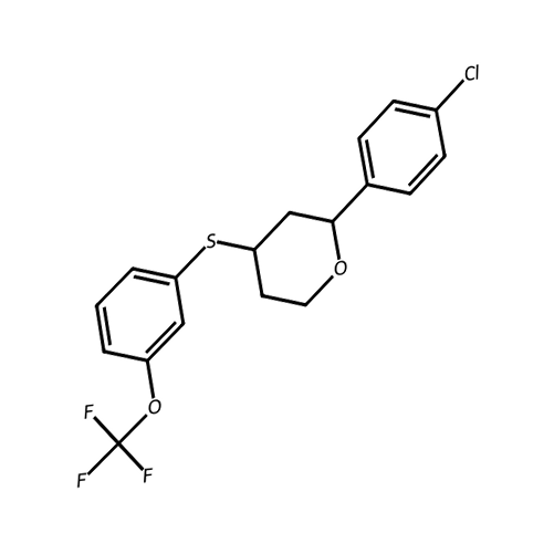 FC(F)(F)Oc1cccc(SC2CCOC(c3ccc(Cl)cc3)C2)c1